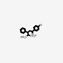 CCc1ccc(C(=O)CC(c2ccccc2)C(C(=O)O)C(=O)O)cc1